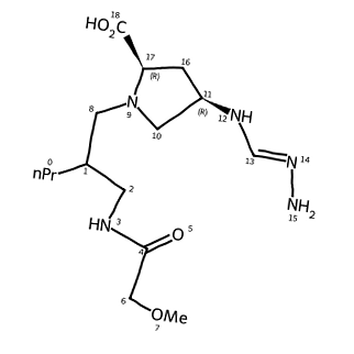 CCCC(CNC(=O)COC)CN1C[C@H](NC=NN)C[C@@H]1C(=O)O